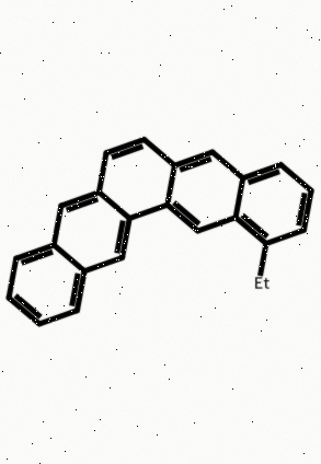 CCc1cccc2cc3ccc4cc5ccccc5cc4c3cc12